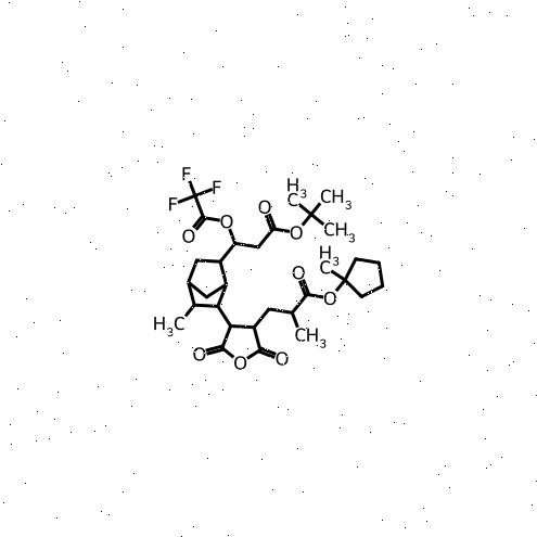 CC(CC1C(=O)OC(=O)C1C1C(C)C2CC(C(CC(=O)OC(C)(C)C)OC(=O)C(F)(F)F)C1C2)C(=O)OC1(C)CCCC1